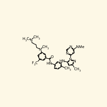 CNc1cc(-n2nc(C)cc2Nc2cc(NC(=O)c3cc(N(C)CCCN(C)C)cc(C(F)(F)F)c3)ccc2C)ncn1